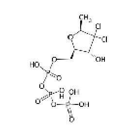 C[C@@H]1O[C@H](COP(=O)(O)OP(=O)(O)OP(=O)(O)O)[C@@H](O)C1(Cl)Cl